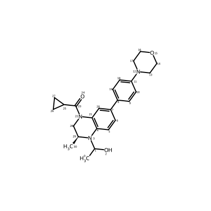 CC(O)N1c2ccc(-c3ccc(N4CCOCC4)cc3)cc2N(C(=O)C2CC2)C[C@@H]1C